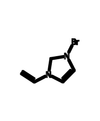 C=CN1C=CN(Br)C1